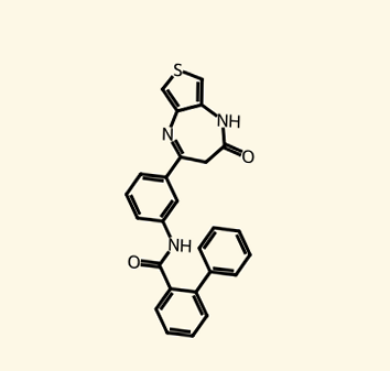 O=C1CC(c2cccc(NC(=O)c3ccccc3-c3ccccc3)c2)=Nc2cscc2N1